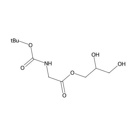 CC(C)(C)OC(=O)NCC(=O)OCC(O)CO